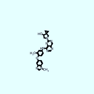 Cc1cc(Nc2ncnc3cnc(N4CC(O)C5(CC5)C4)nc23)ccc1Oc1ccc2c(c1)ncn2C